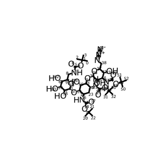 CC(C)(C)OC(=O)NCC1O[C@H](O[C@@H]2C(NC(=O)OC(C)(C)C)C[C@@H](NC(=O)OC(C)(C)C)C(O[C@H]3OC(CN=[N+]=[N-])[C@@H](O)C(NC(=O)OC(C)(C)C)[C@H]3O)[C@H]2O)C(O)[C@@H](O)[C@@H]1O